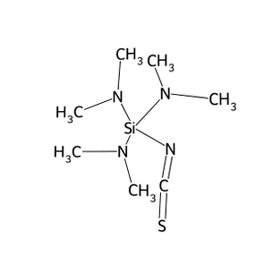 CN(C)[Si](N=C=S)(N(C)C)N(C)C